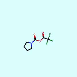 O=C(OC(=O)C(F)(F)F)N1CCCC1